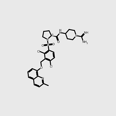 Cc1ccc2cccc(OCc3c(Cl)ccc(S(=O)(=O)N4CCC[C@H]4C(=O)NC4CCN(C(=N)N)CC4)c3Cl)c2n1